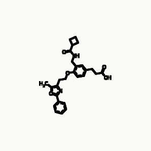 Cc1oc(-c2ccccc2)nc1CCOc1ccc(CCC(=O)O)cc1CNC(=O)C1CCC1